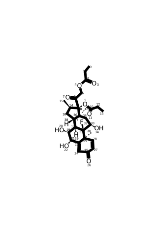 CCC(=O)OCC(=O)[C@]1(OC(=O)CC)[C@H](C)C[C@H]2[C@@H]3[C@@H](O)[C@@H](O)C4=CC(=O)C=C[C@]4(C)[C@@]3(F)[C@@H](O)C[C@@]21C